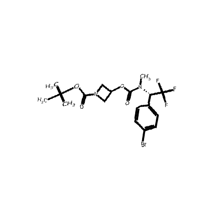 CN(C(=O)OC1CN(C(=O)OC(C)(C)C)C1)[C@@H](c1ccc(Br)cc1)C(F)(F)F